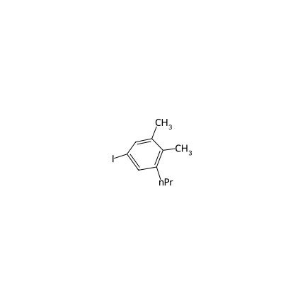 CCCc1cc(I)cc(C)c1C